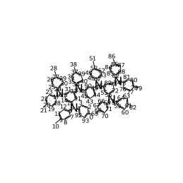 Cc1ccc(N(c2ccc(C)cc2)c2cc(N(c3ccc(C)cc3)c3ccc(C)cc3)cc(N(c3ccc(C)cc3)c3cccc(N(c4ccc(C)cc4)c4cc(N(c5ccc(C)cc5)c5ccc(C)cc5)cc(N(c5ccc(C)cc5)c5ccc(C)cc5)c4)c3)c2)cc1